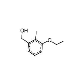 CCOc1cccc(CO)c1C